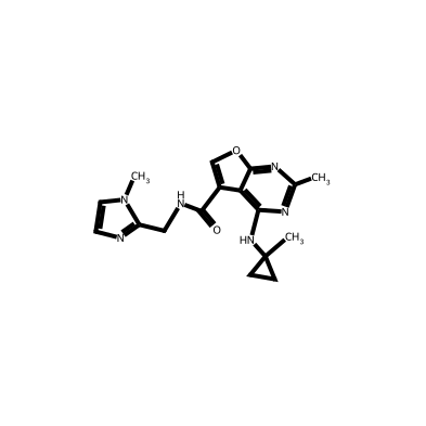 Cc1nc(NC2(C)CC2)c2c(C(=O)NCc3nccn3C)coc2n1